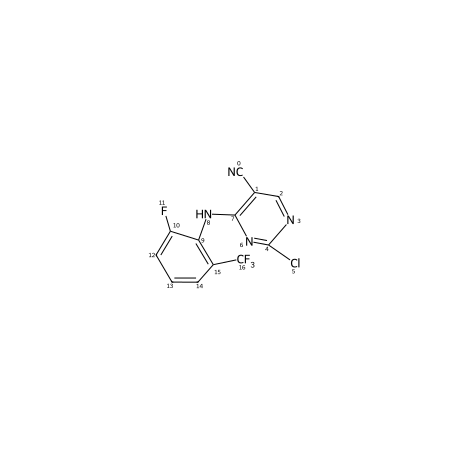 N#Cc1cnc(Cl)nc1Nc1c(F)cccc1C(F)(F)F